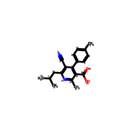 Cc1ccc(-c2c(C#N)c(CC(C)C)nc(C)c2C(=O)O)cc1